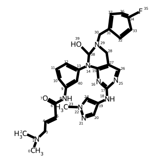 CN(C)C/C=C/C(=O)Nc1cccc(N2c3nc(Nc4cnn(C)c4)ncc3CN(Cc3ccc(F)cc3)C2O)c1